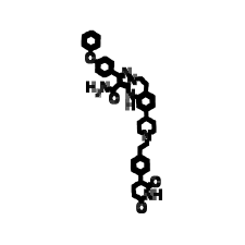 NC(=O)c1c(-c2ccc(Oc3ccccc3)cc2)nn2c1Nc1cc(C3CCN(CCc4ccc(C5CCC(=O)NC5=O)cc4)CC3)ccc1CC2